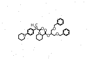 CN(C(=O)N1CCCCC1C(=O)OC(COCc1ccccc1)COCc1ccccc1)c1ccc(N2CCCCC2)cc1